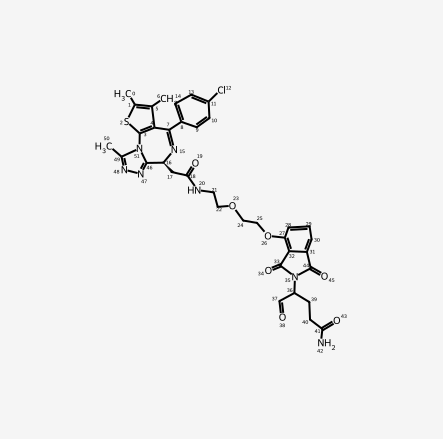 Cc1sc2c(c1C)C(c1ccc(Cl)cc1)=N[C@@H](CC(=O)NCCOCCOc1cccc3c1C(=O)N(C(C=O)CCC(N)=O)C3=O)c1nnc(C)n1-2